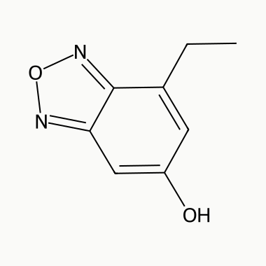 CCc1cc(O)cc2nonc12